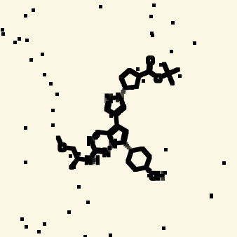 COC[C@H](C)Nc1ncc2c(-c3cnn([C@@H]4CCC(C(=O)OC(C)(C)C)C4)c3)cc([C@H]3CC[C@H](O)CC3)n2n1